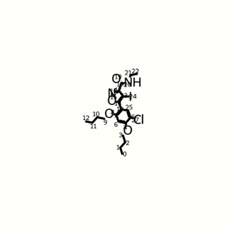 CCCCOc1cc(OCCCC)c(-c2onc(C(=O)NCC)c2I)cc1Cl